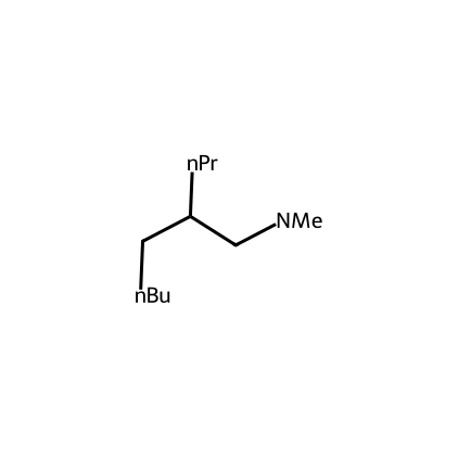 CCCCCC(CCC)CNC